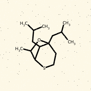 CC(C)CC1C2SCCC1(CC(C)C)OC2C